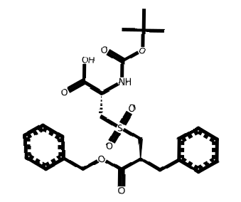 CC(C)(C)OC(=O)N[C@H](CS(=O)(=O)C[C@@H](Cc1ccccc1)C(=O)OCc1ccccc1)C(=O)O